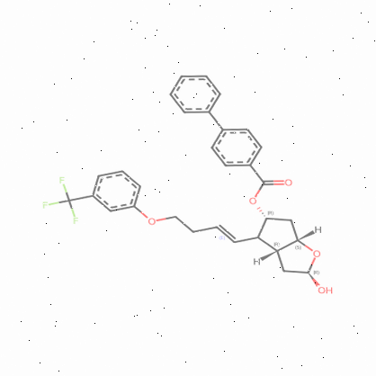 O=C(O[C@@H]1C[C@@H]2O[C@@H](O)C[C@@H]2C1/C=C/CCOc1cccc(C(F)(F)F)c1)c1ccc(-c2ccccc2)cc1